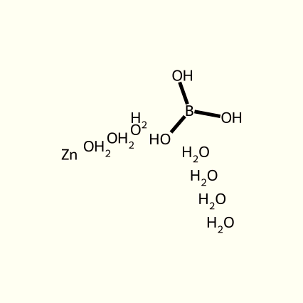 O.O.O.O.O.O.O.OB(O)O.[Zn]